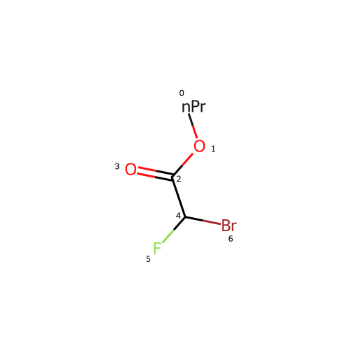 CCCOC(=O)C(F)Br